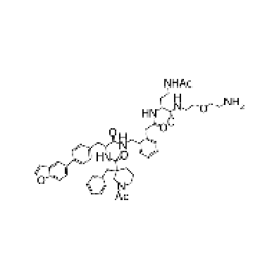 CC(=O)NCC[C@H](NC(=O)Cc1ccccc1CNC(=O)[C@H](Cc1ccc(-c2ccc3occc3c2)cc1)NC(=O)[C@]1(Cc2ccccc2)CCCN(C(C)=O)C1)C(=O)NCCOCCN